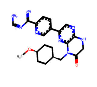 CO[C@H]1CC[C@@H](CN2C(=O)CNc3ncc(-c4ccc(C(=N)/N=C\N)nc4)nc32)CC1